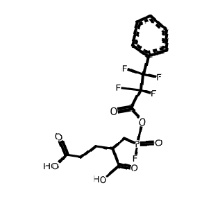 O=C(O)CCC(CP(=O)(F)OC(=O)C(F)(F)C(F)(F)c1ccccc1)C(=O)O